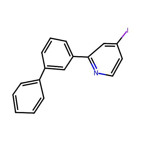 Ic1ccnc(-c2cccc(-c3ccccc3)c2)c1